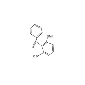 COc1cccc([N+](=O)[O-])c1C(=O)c1ccccc1